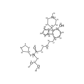 COC(CN(CC1CCCC1)C(=O)CCOCCc1ccc(O)c(C2(c3nccs3)CCN(C)CC2)c1)OC